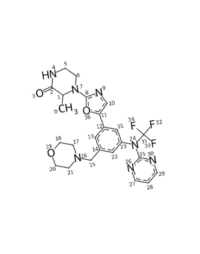 CC1C(=O)NCCN1c1ncc(-c2cc(CN3CCOCC3)cc(N(c3ncccn3)C(F)(F)F)c2)o1